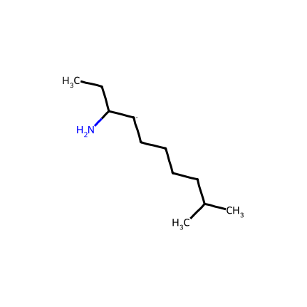 CCC(N)[CH]CCCCC(C)C